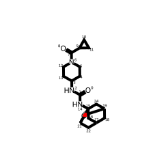 O=C(NC1CCN(C(=O)C2CC2)CC1)NC12CC3CC(CC(C3)O1)C2